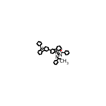 C/C=C(/N=C(\N=C(/C)c1ccccc1)n1c2ccccc2c2cc(-c3ccc4c(c3)c3ccccc3n4-c3ccccc3)ccc21)c1ccccc1